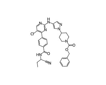 CCC(C#N)NC(=O)c1ccc(-c2nc(Nc3cnn(C4CCN(C(=O)OCc5ccccc5)CC4)c3)ncc2Cl)cc1